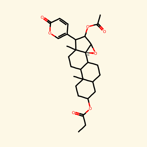 CCC(=O)OC1CCC2(C)C(CCC3C2CCC2(C)C(c4ccc(=O)oc4)C(OC(C)=O)C4O[C@]342)C1